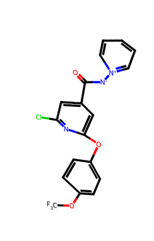 O=C([N-][n+]1ccccc1)c1cc(Cl)nc(Oc2ccc(OC(F)(F)F)cc2)c1